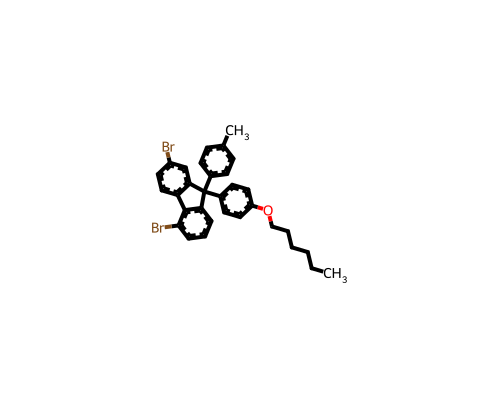 CCCCCCOc1ccc(C2(c3ccc(C)cc3)c3cc(Br)ccc3-c3c(Br)cccc32)cc1